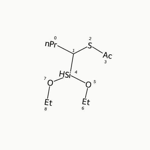 CCCC(SC(C)=O)[SiH](OCC)OCC